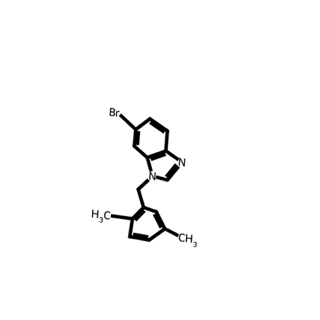 Cc1ccc(C)c(Cn2cnc3ccc(Br)cc32)c1